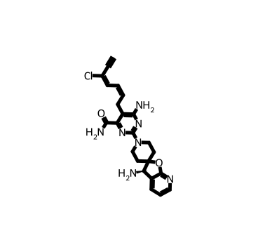 C#C/C(Cl)=C\C=C/Cc1c(N)nc(N2CCC3(CC2)Oc2ncccc2[C@H]3N)nc1C(N)=O